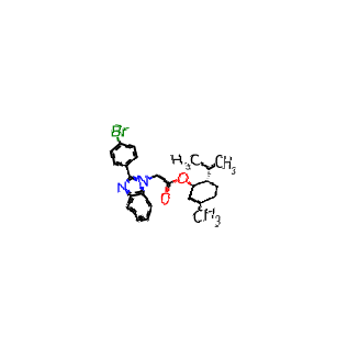 CC(C)[C@@H]1CC[C@@H](C)C[C@H]1OC(=O)Cn1c(-c2ccc(Br)cc2)nc2ccccc21